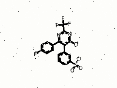 O=S(=O)(Cl)c1cccc(-c2c(Cl)nc(C(F)(F)F)nc2-c2ccc(F)cc2)c1